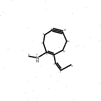 C/C=C\C1=C(/NC)CCC#CCC1